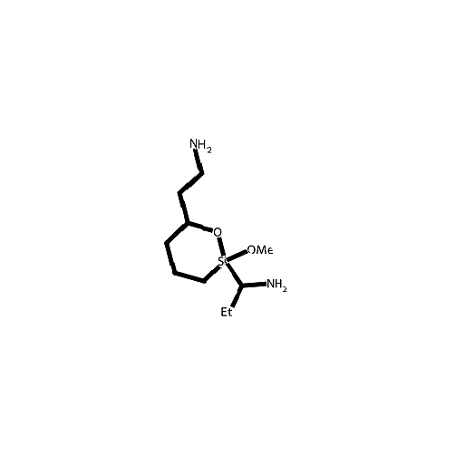 CCC(N)[Si]1(OC)CCCC(CCN)O1